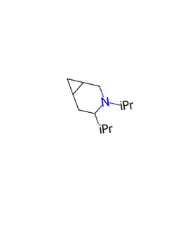 CC(C)C1CC2CC2CN1C(C)C